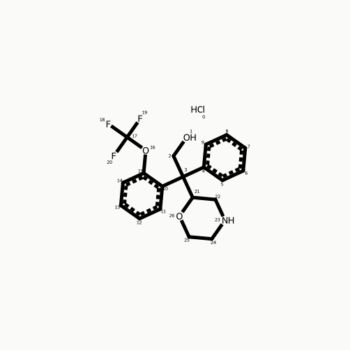 Cl.OCC(c1ccccc1)(c1ccccc1OC(F)(F)F)C1CNCCO1